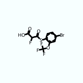 O=C(O)C(F)C(=O)Sc1ccc(Br)cc1OC(F)(F)F